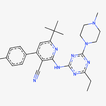 CCc1nc(Nc2nc(C(C)(C)C)cc(-c3ccc(C)cc3)c2C#N)nc(N2CCN(C)CC2)n1